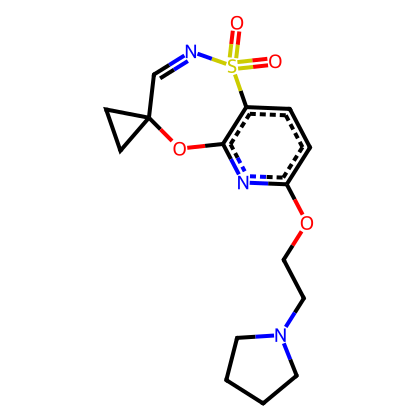 O=S1(=O)N=CC2(CC2)Oc2nc(OCCN3CCCC3)ccc21